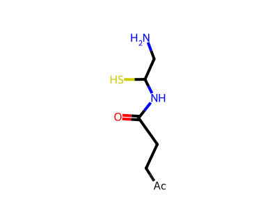 CC(=O)CCC(=O)NC(S)CN